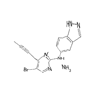 CC#Cc1nc(Nc2ccc3[nH]ncc3c2)ncc1Br.N